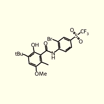 COc1cc(C(C)(C)C)c(O)c(C(=O)Nc2ccc(S(=O)(=O)C(F)(F)F)cc2Br)c1C